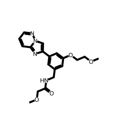 COCCOc1cc(CNC(=O)COC)cc(-c2cn3ncccc3n2)c1